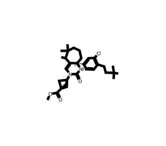 COC(=O)C12CC(N3C=C4C(C)C(C)(C)CCC[C@@]4(c4ccc(CCC(C)(C)C)c(Cl)c4)NC3=O)(C1)C2